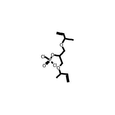 C=CC(C)OCC(COC(C)C=C)OP(=O)(Cl)Cl